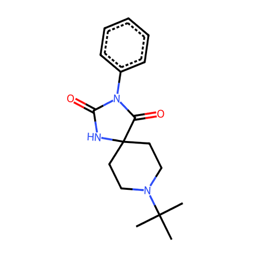 CC(C)(C)N1CCC2(CC1)NC(=O)N(c1ccccc1)C2=O